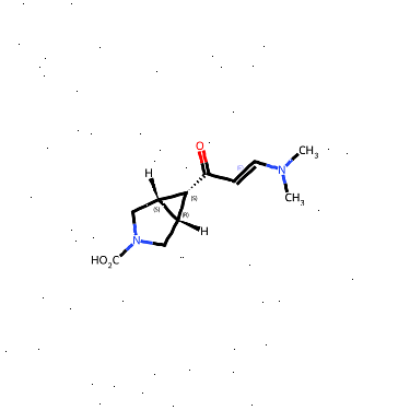 CN(C)/C=C/C(=O)[C@@H]1[C@@H]2CN(C(=O)O)C[C@@H]21